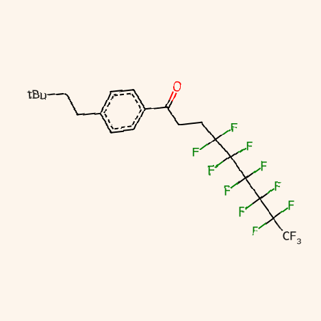 CC(C)(C)CCc1ccc(C(=O)CCC(F)(F)C(F)(F)C(F)(F)C(F)(F)C(F)(F)C(F)(F)F)cc1